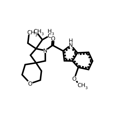 CCC1(C(C)C)CC2(CCOCC2)CN1C(=O)c1cc2c(OC)cccc2[nH]1